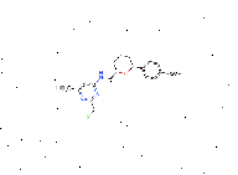 CSc1ccc([C@@H]2CCC[C@H](CNc3cc(C(=O)O)nc(CF)n3)O2)cc1